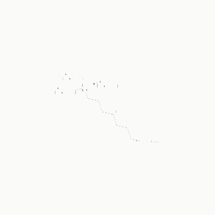 CCCCCCCCCCCCCCCCC[N+](CCCCCCCCC)(CCCCCCCCC)CCCCCCCCC